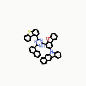 c1ccc2cc3c(cc2c1)c1ccccc1n3-c1cc(C2=NC(c3cccc4sc5ccccc5c34)=NC(c3cccc4ccccc34)N2)c2oc3ccccc3c2c1